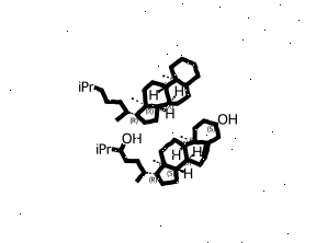 CC(C)C(O)CCC(C)[C@H]1CC[C@H]2[C@@H]3CC=C4C[C@@H](O)CC[C@]4(C)[C@H]3CC[C@]12C.CC(C)CCCC(C)[C@H]1CC[C@H]2[C@@H]3CCC4CCCC[C@]4(C)[C@H]3CC[C@]12C